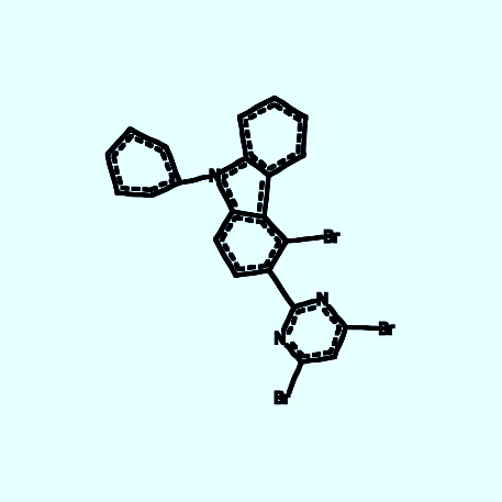 Brc1cc(Br)nc(-c2ccc3c(c2Br)c2ccccc2n3-c2ccccc2)n1